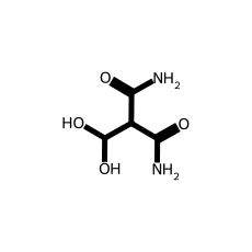 NC(=O)C(C(N)=O)C(O)O